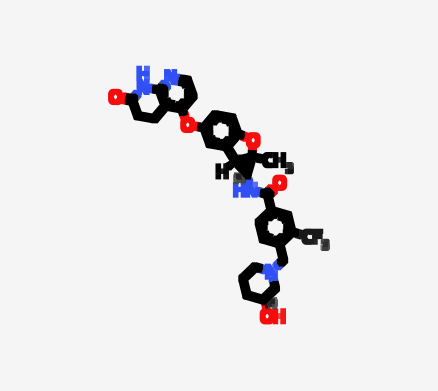 CC12Oc3ccc(Oc4ccnc5c4CCC(=O)N5)cc3[C@H]1[C@@H]2NC(=O)c1ccc(CN2CCC[C@@H](O)C2)c(C(F)(F)F)c1